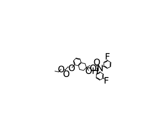 CCOC(=O)COc1cccc2c1CCC(O)(COC(=O)N(c1cccc(F)c1)c1cccc(F)c1)C2